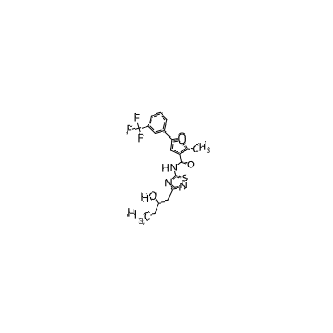 CCC(O)Cc1nsc(NC(=O)c2cc(-c3cccc(C(F)(F)F)c3)oc2C)n1